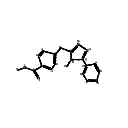 COC(=O)c1ccc(Cc2nnc(-c3ccccc3)n2C)cc1